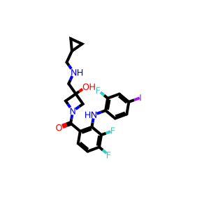 O=C(c1ccc(F)c(F)c1Nc1ccc(I)cc1F)N1CC(O)(CNCC2CC2)C1